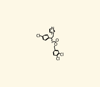 O=C(OCc1ccc(Cl)c(Cl)c1)SC(Cn1ccnc1)c1ccc(Cl)cc1